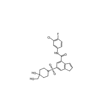 O=C(Nc1ccc(F)c(Cl)c1)c1cc(S(=O)(=O)N2CCC(O)(CO)CC2)cc2c1C=CC2